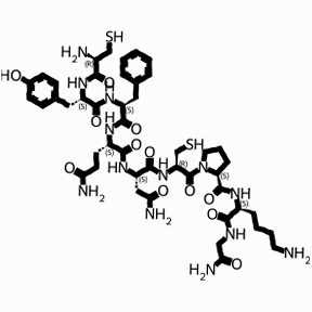 NCCCC[C@H](NC(=O)[C@@H]1CCCN1C(=O)[C@H](CS)NC(=O)[C@H](CC(N)=O)NC(=O)[C@H](CCC(N)=O)NC(=O)[C@H](Cc1ccccc1)NC(=O)[C@H](Cc1ccc(O)cc1)NC(=O)[C@@H](N)CS)C(=O)NCC(N)=O